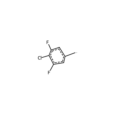 [CH2]c1cc(F)c(Cl)c(F)c1